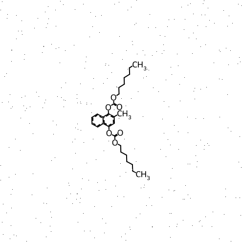 CCCCCCCOC(=O)Oc1cc(C)c(OC(=O)OCCCCCCC)c2ccccc12